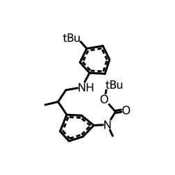 CC(CNc1cccc(C(C)(C)C)c1)c1cccc(N(C)C(=O)OC(C)(C)C)c1